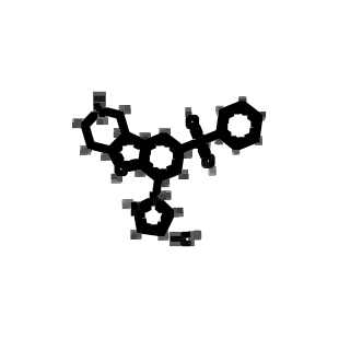 Cl.O=S(=O)(c1ccccc1)c1cc(-n2cccn2)c2oc3c(c2c1)CNCC3